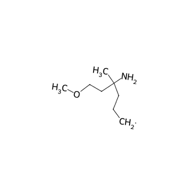 [CH2]CCC(C)(N)CCOC